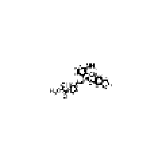 C[C@@H](O)C(=O)N1CCC(CCn2c(Sc3cc4c(cc3Cl)CCO4)nc3c(N)nccc32)C1